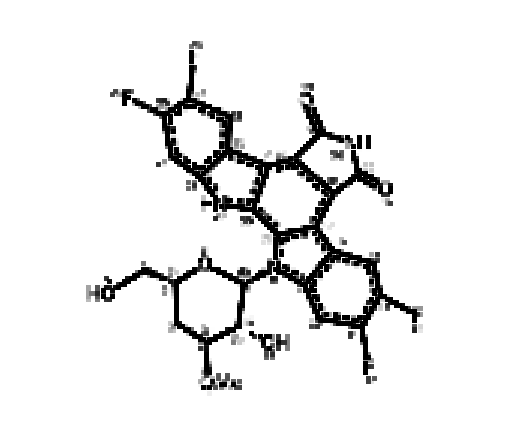 CO[C@H]1C[C@@H](CO)O[C@@H](n2c3cc(F)c(F)cc3c3c4c(c5c6cc(F)c(F)cc6[nH]c5c32)C(=O)NC4=O)[C@@H]1O